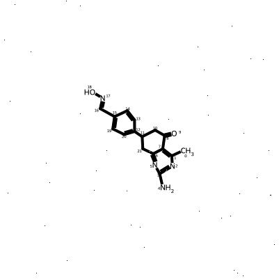 Cc1nc(N)nc2c1C(=O)CC(c1ccc(C=NO)cc1)C2